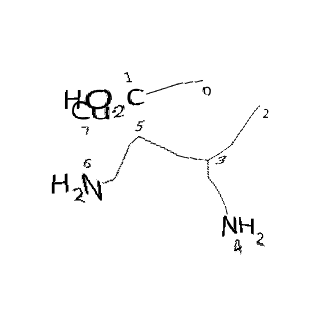 CC(=O)O.CC(N)CN.[Cu]